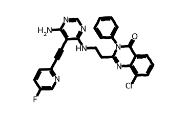 Nc1ncnc(NCCc2nc3c(Cl)cccc3c(=O)n2-c2ccccc2)c1C#Cc1ccc(F)cn1